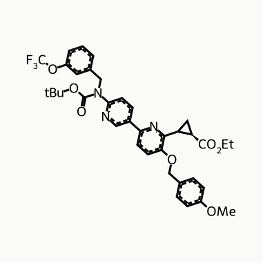 CCOC(=O)[C@@H]1CC1c1nc(-c2ccc(N(Cc3cccc(OC(F)(F)F)c3)C(=O)OC(C)(C)C)nc2)ccc1OCc1ccc(OC)cc1